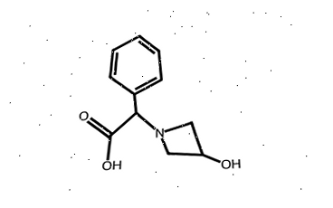 O=C(O)C(c1ccccc1)N1CC(O)C1